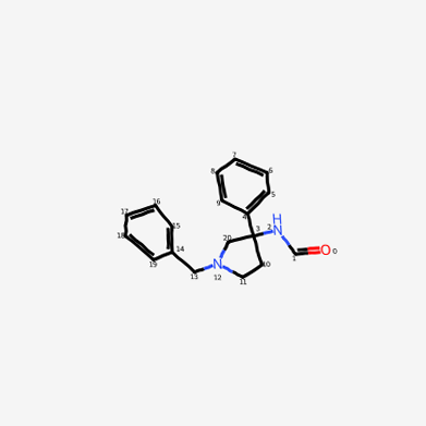 O=CNC1(c2ccccc2)CCN(Cc2ccccc2)C1